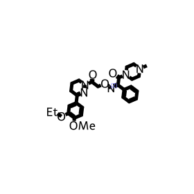 CCOc1cc(C2=NN(C(=O)CO/N=C(\C(=O)N3CCN(C)CC3)c3ccccc3)CCC2)ccc1OC